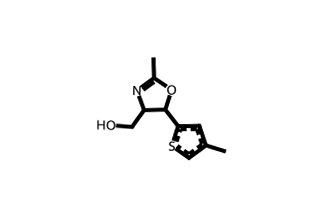 CC1=NC(CO)C(c2cc(C)cs2)O1